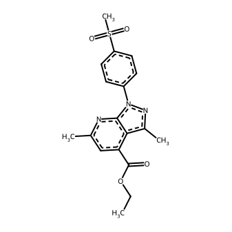 CCOC(=O)c1cc(C)nc2c1c(C)nn2-c1ccc(S(C)(=O)=O)cc1